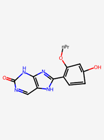 CCCOc1cc(O)ccc1-c1nc2[nH]c(=O)ncc2[nH]1